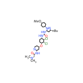 CCCCc1cc(NC(=O)Nc2ccc(Oc3ccnc(NC(=O)CN(C)C)c3)c(Cl)c2Cl)n(-c2ccc(OC)cc2)n1